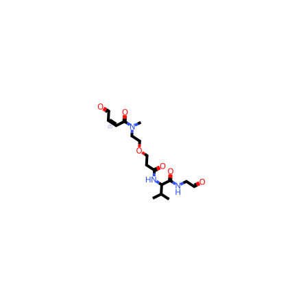 CC(C)C(NC(=O)CCOCCN(C)C(=O)/C=C\C=O)C(=O)NCC=O